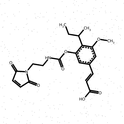 CCC(C)c1c(OC)cc(/C=C/C(=O)O)cc1OC(=O)NCCN1C(=O)C=CC1=O